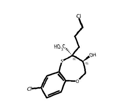 O=C(O)[C@@]1(CCCCl)Sc2cc(Cl)ccc2OC[C@@H]1O